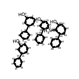 Oc1cccc(-c2ccccc2)c1.Oc1cccc(-c2ccccc2)c1.Oc1cccc(-c2ccccc2)c1.Oc1cccc(-c2ccccc2)c1[SiH3]